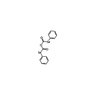 O=C(OC(=O)[Se]c1ccccc1)[Se]c1ccccc1